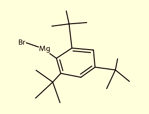 CC(C)(C)c1cc(C(C)(C)C)[c]([Mg][Br])c(C(C)(C)C)c1